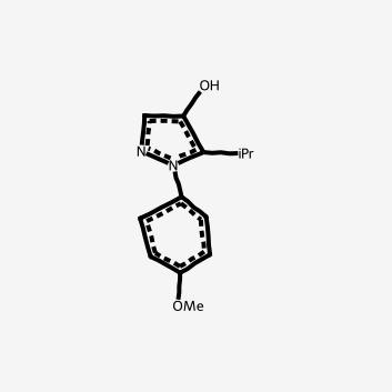 COc1ccc(-n2ncc(O)c2C(C)C)cc1